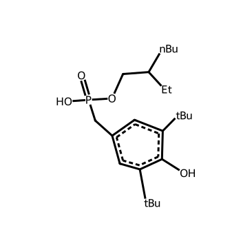 CCCCC(CC)COP(=O)(O)Cc1cc(C(C)(C)C)c(O)c(C(C)(C)C)c1